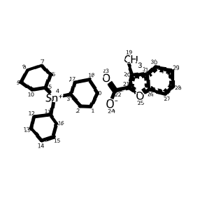 C1CC[CH]([Sn+]([CH]2CCCCC2)[CH]2CCCCC2)CC1.Cc1c(C(=O)[O-])oc2ccccc12